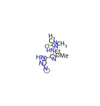 CCC(Nc1nc(C)nc(C)c1Cl)c1cc(-c2c[nH]c3ncc(N4CCCCC4)cc23)cnc1OC